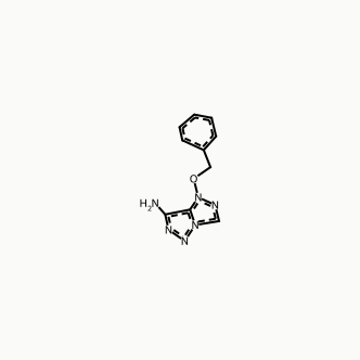 Nc1nnn2cnn(OCc3ccccc3)c12